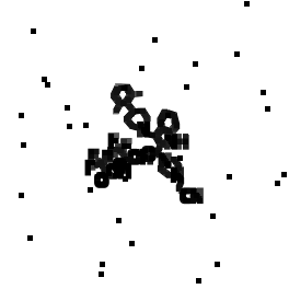 Cc1cccc(C)c1C1CCN(Cc2c(C(=O)N3CCN(CCC#N)CC3)[nH]c3ccccc23)CC1.O=C(O)C(F)(F)F.O=C(O)C(F)(F)F